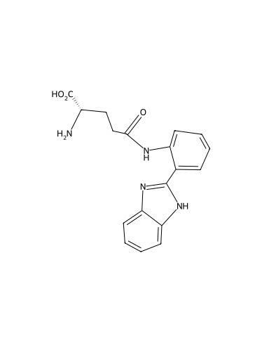 N[C@@H](CCC(=O)Nc1ccccc1-c1nc2ccccc2[nH]1)C(=O)O